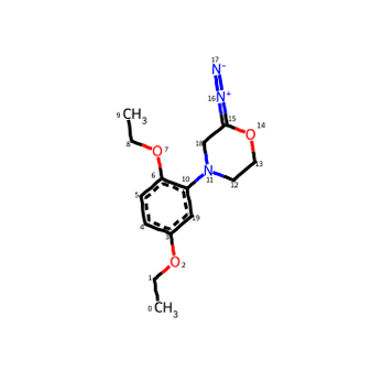 CCOc1ccc(OCC)c(N2CCOC(=[N+]=[N-])C2)c1